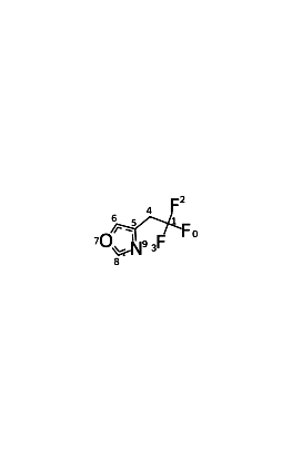 FC(F)(F)Cc1co[c]n1